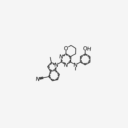 Cc1cc2c(C#N)cccc2n1-c1nc2c(c(N(C)c3cccc(O)c3)n1)CCCO2